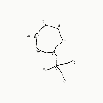 CC(C)(C)C1[C]OCCC1